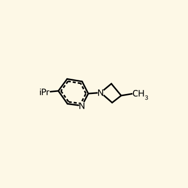 CC1CN(c2ccc(C(C)C)cn2)C1